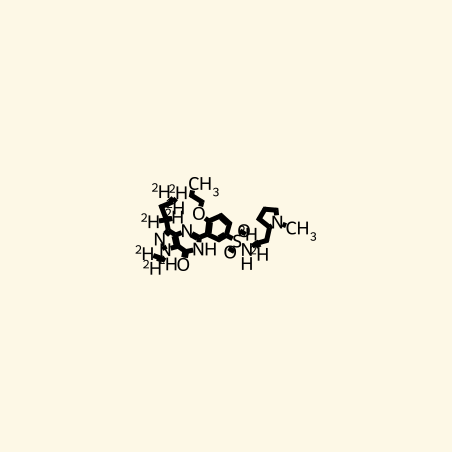 [2H]C([2H])([2H])CC([2H])([2H])c1nn(C([2H])([2H])[2H])c2c(=O)[nH]c(-c3cc(S(=O)(=O)NC([2H])([2H])CC4CCCN4C)ccc3OCCC)nc12